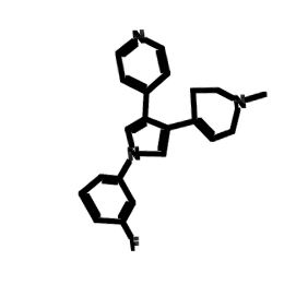 CN1CC=C(c2cn(-c3cccc(F)c3)cc2-c2ccncc2)CC1